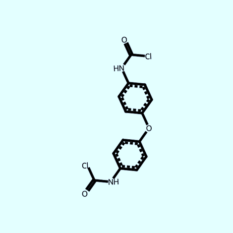 O=C(Cl)Nc1ccc(Oc2ccc(NC(=O)Cl)cc2)cc1